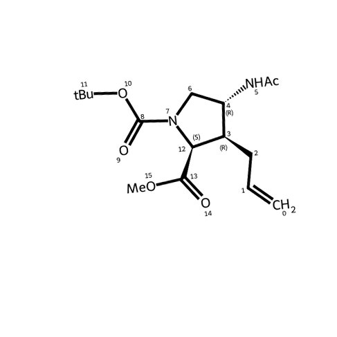 C=CC[C@@H]1[C@@H](NC(C)=O)CN(C(=O)OC(C)(C)C)[C@@H]1C(=O)OC